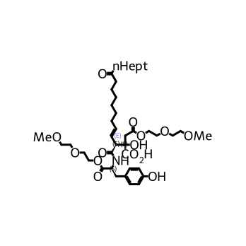 CCCCCCCC(=O)CCCCCC/C=C/[C@H](C(=O)N[C@@H](Cc1ccc(O)cc1)C(=O)OCCOCCOC)[C@@](O)(CC(=O)OCCOCCOC)C(=O)O